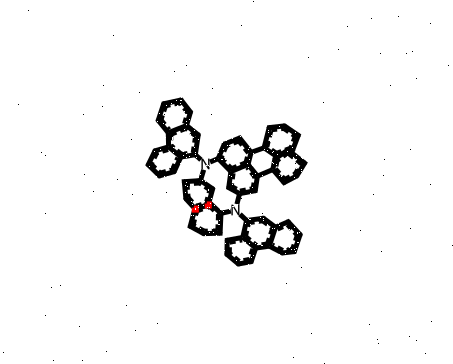 c1ccc(-c2ccc(N(c3ccccc3)c3cc4ccccc4c4ccccc34)c3cc(N(c4ccccc4)c4cc5ccccc5c5ccccc45)cc(-c4ccccc4)c23)cc1